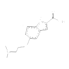 CN(C)CCOc1ccc2[nH]c(C(=O)O)cc2c1.Cl